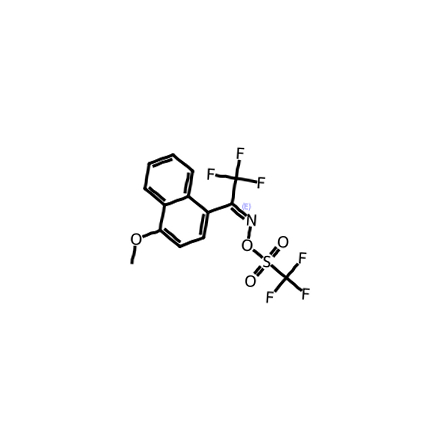 COc1ccc(/C(=N\OS(=O)(=O)C(F)(F)F)C(F)(F)F)c2ccccc12